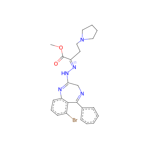 COC(=O)/C(CCN1CCCC1)=N\NC1=Nc2cccc(Br)c2C(c2ccccc2)=NC1